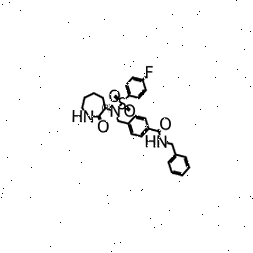 O=C(NCc1ccccc1)c1ccc(CN([C@@H]2CCCCNC2=O)S(=O)(=O)c2ccc(F)cc2)cc1